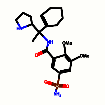 COc1cc(S(N)(=O)=O)cc(C(=O)NC(C)(C2=CCCCC2)C2CCCN2)c1OC